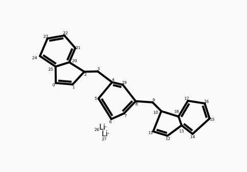 C1=CC(Cc2cccc(CC3C=Cc4ccccc43)c2)c2ccccc21.[Li].[Li]